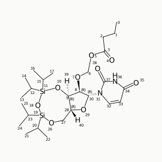 CCCC(=O)OCO[C@@H]1[C@@H]2O[Si](C(C)C)(C(C)C)O[Si](C(C)C)(C(C)C)OC[C@H]2O[C@H]1n1ccc(=O)[nH]c1=O